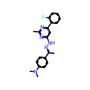 C/C(=N\Nc1cc(-c2ccccc2F)nc(C)n1)c1ccc(N(C)C)cc1